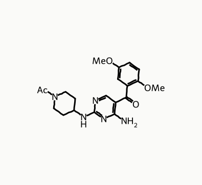 COc1ccc(OC)c(C(=O)c2cnc(NC3CCN(C(C)=O)CC3)nc2N)c1